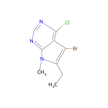 CCc1c(Br)c2c(Cl)ncnc2n1C